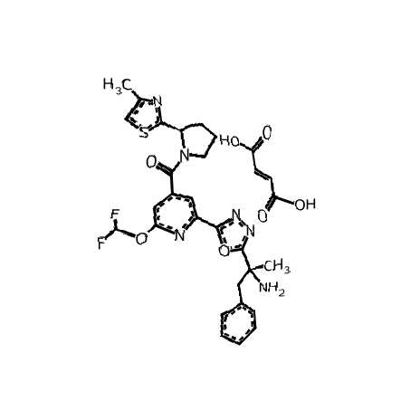 Cc1csc([C@H]2CCCN2C(=O)c2cc(OC(F)F)nc(-c3nnc([C@](C)(N)Cc4ccccc4)o3)c2)n1.O=C(O)C=CC(=O)O